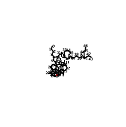 CCCCC1CC(C23C[C@@H]4[C@H](C)CC[C@H]4C4(C=O)CC2C=C(C(C)C)C34C(=O)O)OC1CN1CCCN(CCCN(CCC)CCC)CC1